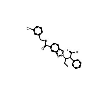 CCC(C(C(=O)O)c1ccccc1)n1cc2ccc(C(=O)NCc3cccc(Cl)c3)cc2n1